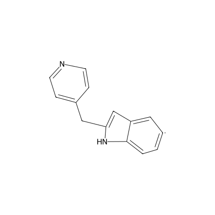 [c]1ccc2[nH]c(Cc3ccncc3)cc2c1